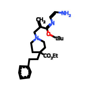 C=C(CN1CCC(CCc2ccccc2)(C(=O)OCC)CC1)/C(=N\C=C/N)OC(C)(C)C